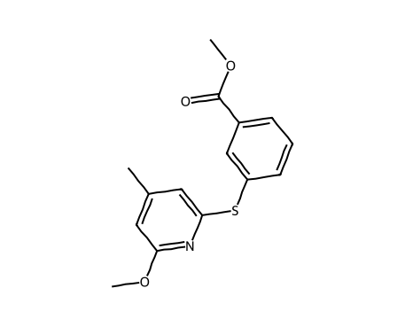 COC(=O)c1cccc(Sc2cc(C)cc(OC)n2)c1